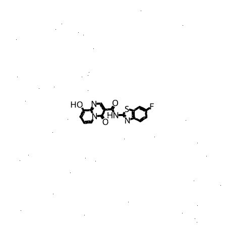 O=C(Nc1nc2ccc(F)cc2s1)c1cnc2c(O)cccn2c1=O